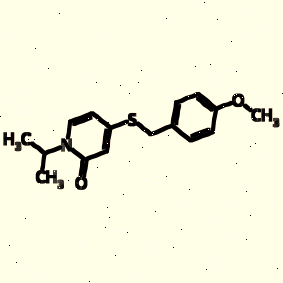 COc1ccc(CSc2ccn(C(C)C)c(=O)c2)cc1